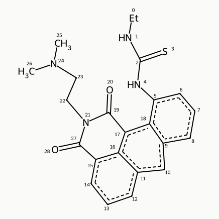 CCNC(=S)Nc1cccc2cc3cccc4c3c(c12)C(=O)N(CCN(C)C)C4=O